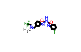 CN(Cc1ccc2oc(Nc3nc4cc(F)ccc4o3)nc2c1)CC(F)(F)F